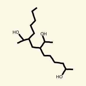 CCCCCC(CC(CCCCC(C)O)C(C)O)C(C)O